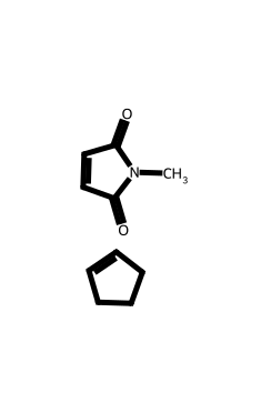 C1=CCCC1.CN1C(=O)C=CC1=O